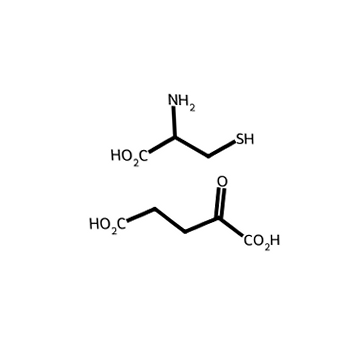 NC(CS)C(=O)O.O=C(O)CCC(=O)C(=O)O